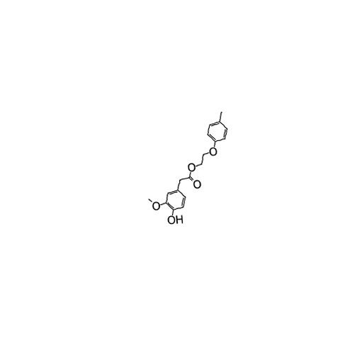 COc1cc(CC(=O)OCCOc2ccc(C)cc2)ccc1O